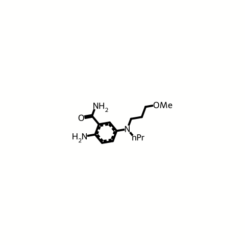 CCCN(CCCOC)c1ccc(N)c(C(N)=O)c1